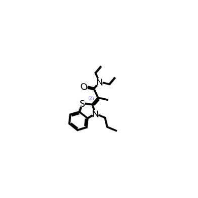 CCCN1/C(=C(\C)C(=O)N(CC)CC)Sc2ccccc21